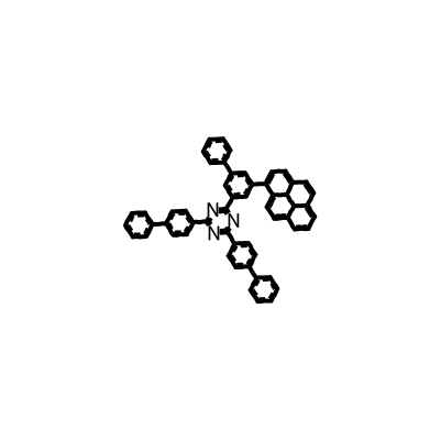 C1=CC2=CC=C3C(c4cc(-c5ccccc5)cc(-c5nc(-c6ccc(-c7ccccc7)cc6)nc(-c6ccc(-c7ccccc7)cc6)n5)c4)=CC=C4C=CC(=C1)C2C43